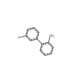 Cc1c[c]ccc1-c1cccc(F)c1